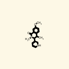 COc1ccc2c(c1)C(=O)N(C)C(C1=CC=CNC1)C2C